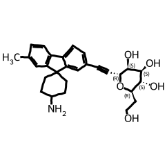 Cc1ccc2c(c1)C1(CCC(N)CC1)c1cc(C#C[C@H]3O[C@H](CCO)[C@@H](O)[C@H](O)[C@@H]3O)ccc1-2